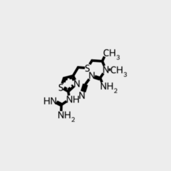 CC(CSCc1csc(NC(=N)N)n1)N(C)C(N)=NC#N